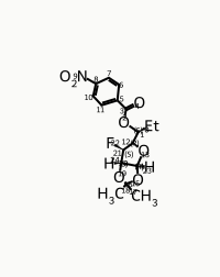 CC[C@H](OC(=O)c1ccc([N+](=O)[O-])cc1)[C@H]1O[C@@H]2OC(C)(C)O[C@@H]2[C@H]1F